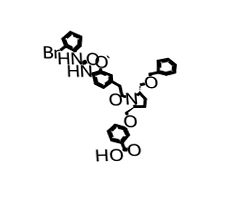 COc1cc(CC(=O)N2[C@H](COCc3ccccc3)CC[C@H]2COc2cccc(C(=O)O)c2)ccc1NC(=O)Nc1ccccc1Br